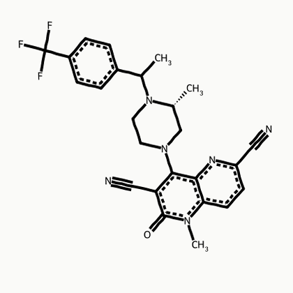 CC(c1ccc(C(F)(F)F)cc1)N1CCN(c2c(C#N)c(=O)n(C)c3ccc(C#N)nc23)C[C@H]1C